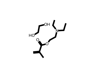 C=C(C)C(=O)OCCN(CC)CC.OCCO